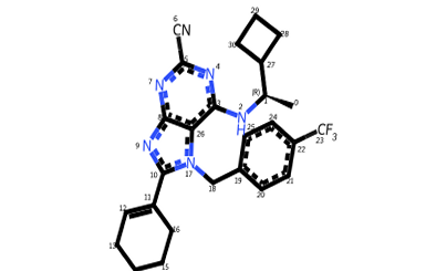 C[C@@H](Nc1nc(C#N)nc2nc(C3=CCCCC3)n(Cc3ccc(C(F)(F)F)cc3)c12)C1CCC1